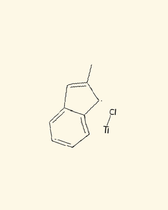 CC1=Cc2ccccc2[CH]1.[Cl][Ti]